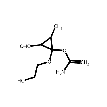 C=C(N)OC1(OCCO)C(C)C1C=O